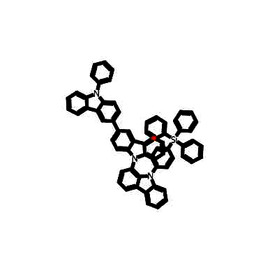 c1ccc(-n2c3ccccc3c3cc(-c4ccc5c(c4)c4ccccc4n5-c4cccc5c6ccccc6n(-c6ccc([Si](c7ccccc7)(c7ccccc7)c7ccccc7)cc6)c45)ccc32)cc1